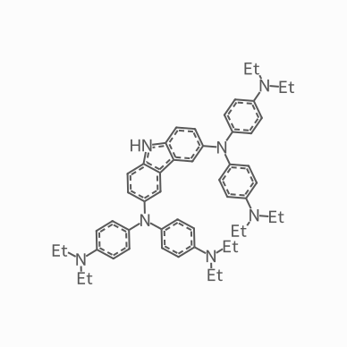 CCN(CC)c1ccc(N(c2ccc(N(CC)CC)cc2)c2ccc3[nH]c4ccc(N(c5ccc(N(CC)CC)cc5)c5ccc(N(CC)CC)cc5)cc4c3c2)cc1